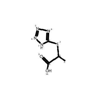 CC(Sc1nnn[nH]1)C(=O)O